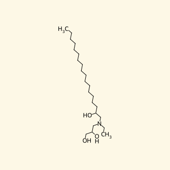 CCCCCCCCCCCCCCCCC(O)CN(CC)CC(O)CO